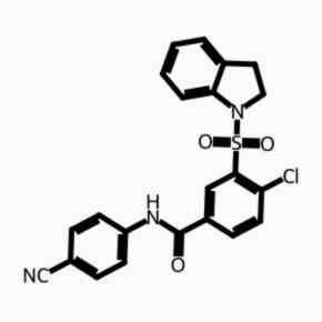 N#Cc1ccc(NC(=O)c2ccc(Cl)c(S(=O)(=O)N3CCc4ccccc43)c2)cc1